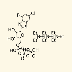 CCN(CC)CC.CCN(CC)CC.CCN(CC)CC.O=P(O)(O)OP(=O)(O)OP(=O)(O)OC[C@H]1O[C@@H](c2nc3c(F)cc(Cl)cc3s2)[C@H](O)[C@@H]1O